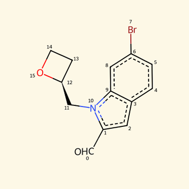 O=Cc1cc2ccc(Br)cc2n1C[C@@H]1CCO1